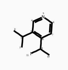 CC(C)c1cnccc1C(C)I